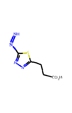 N=Nc1nnc(CCC(=O)O)s1